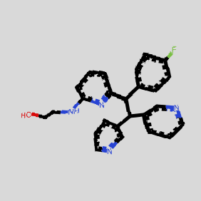 OCCNc1cccc(C(c2ccc(F)cc2)C(c2cccnc2)c2cccnc2)n1